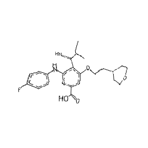 CC(C)C(=N)c1c(OCCC2CCOCC2)cc(C(=O)O)nc1Nc1ccc(F)cc1